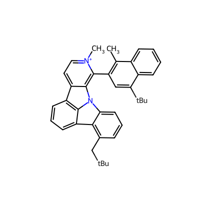 Cc1c(-c2c3c(cc[n+]2C)c2cccc4c5c(CC(C)(C)C)cccc5n3c24)cc(C(C)(C)C)c2ccccc12